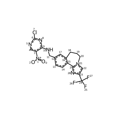 O=[N+]([O-])c1cnc(Cl)nc1NCc1ccc2c(c1)CCCn1cc(C(F)(F)F)nc1-2